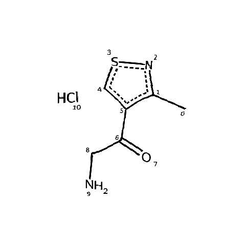 Cc1nscc1C(=O)CN.Cl